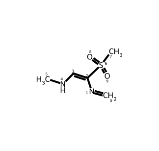 C=N/C(=C\NC)S(C)(=O)=O